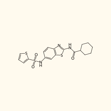 O=C(Nc1nc2ccc(NS(=O)(=O)c3cccs3)cc2s1)C1CCCCC1